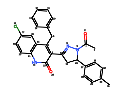 CC(=O)N1N=C(c2c(Cc3ccccc3)c3cc(Cl)ccc3[nH]c2=O)CC1c1ccc(C)cc1